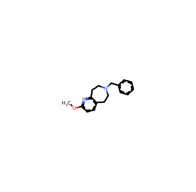 COc1ccc2c(n1)CCN(Cc1ccccc1)CC2